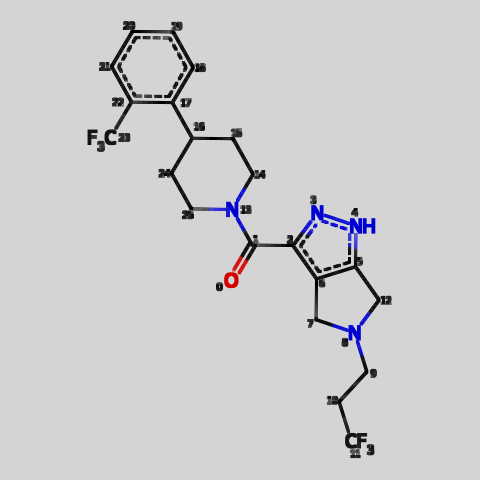 O=C(c1n[nH]c2c1CN(CCC(F)(F)F)C2)N1CCC(c2ccccc2C(F)(F)F)CC1